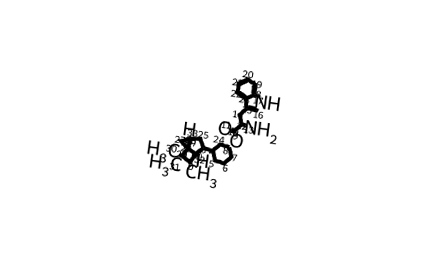 CC1[C@H]2C(C3CCCC(OC(=O)C(N)Cc4c[nH]c5ccccc45)C3)C[C@@H]3CC32C1(C)C